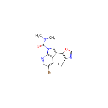 Cc1ncoc1-c1cn(C(=O)N(C)C)c2ncc(Br)cc12